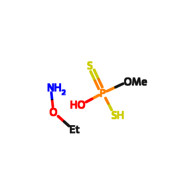 CCON.COP(O)(=S)S